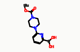 CC(C)(C)OC(=O)N1CCN(c2cccc(B(O)O)n2)CC1